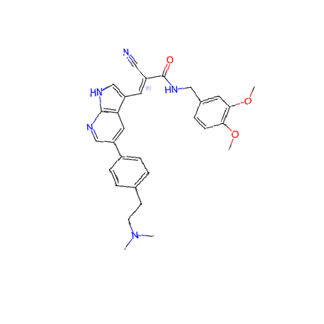 COc1ccc(CNC(=O)/C(C#N)=C/c2c[nH]c3ncc(-c4ccc(CCN(C)C)cc4)cc23)cc1OC